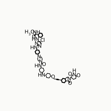 CNC(=O)c1ccccc1Nc1nc(Nc2ccc(N3CCN(C(=O)N[C@H]4CC[C@H](N[C@H]5CC[C@H](OCC#Cc6ccc7c(c6)CN(C6CCC(=O)NC6=O)C7=O)CC5)CC4)CC3)cc2)ncc1Cl